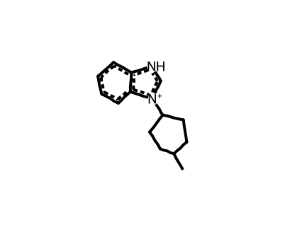 CC1CCC([n+]2c[nH]c3ccccc32)CC1